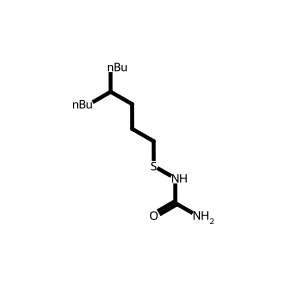 CCCCC(CCCC)CCCSNC(N)=O